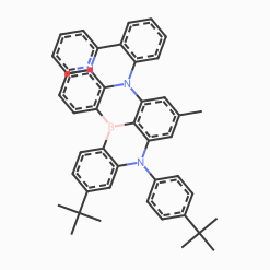 Cc1cc2c3c(c1)N(c1ccccc1-c1ccccn1)c1ccccc1B3c1ccc(C(C)(C)C)cc1N2c1ccc(C(C)(C)C)cc1